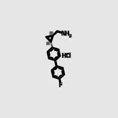 Cl.NC[C@@H]1C[C@H]1c1ccc(-c2ccc(F)cc2)cc1